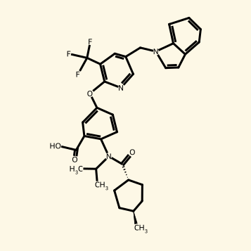 CC(C)N(c1ccc(Oc2ncc(Cn3ccc4ccccc43)cc2C(F)(F)F)cc1C(=O)O)C(=O)[C@H]1CC[C@H](C)CC1